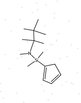 CN(C(C)(C)C(C)(C)C)[Si](C)(C)C1=CC=CC1